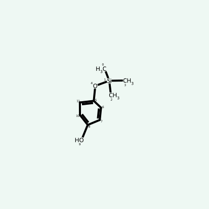 C[Si](C)(C)Oc1ccc(O)cc1